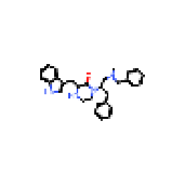 CN(Cc1ccccc1)CC(Cc1ccccc1)N1CCNC(Cc2c[nH]c3ccccc23)C1=O